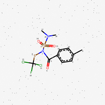 Cc1ccc(C(=O)N(SC(F)(Cl)Cl)S(=O)(=O)N(C)C)cc1